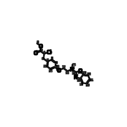 COC(=O)C(Cl)Cc1ccc(OCCN(C)c2nc3ccccc3o2)cc1